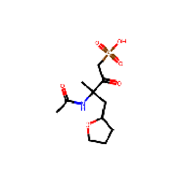 CC(=O)NC(C)(CC1CCCO1)C(=O)CS(=O)(=O)O